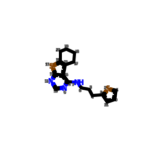 c1csc(CCCNc2ncnc3sc4c(c23)CCCC4)c1